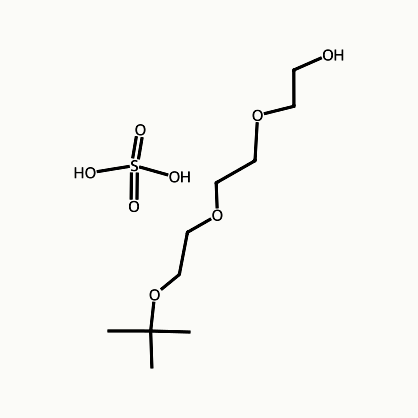 CC(C)(C)OCCOCCOCCO.O=S(=O)(O)O